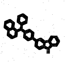 c1ccc(N(c2ccc(-c3ccc4[nH]c5ccccc5c4c3)cc2)c2cccc3ccccc23)cc1